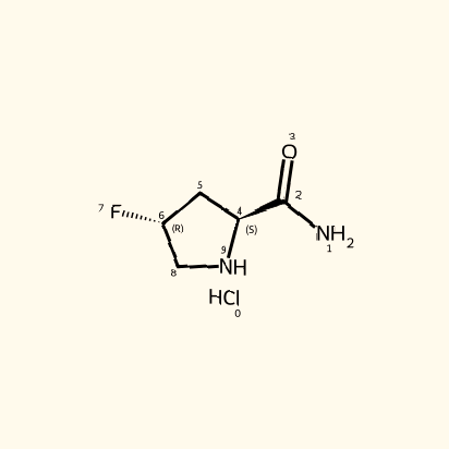 Cl.NC(=O)[C@@H]1C[C@@H](F)CN1